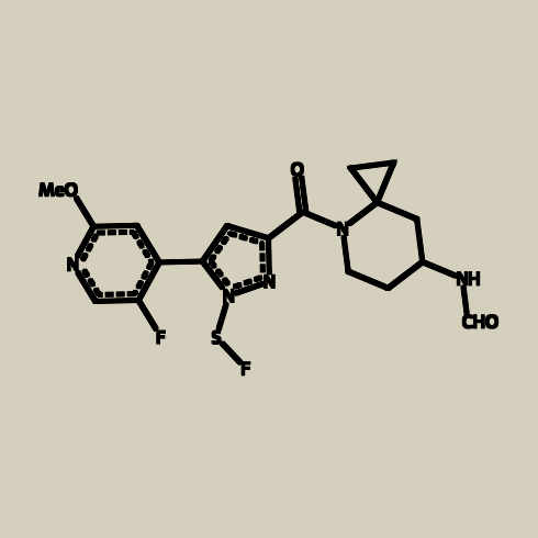 COc1cc(-c2cc(C(=O)N3CCC(NC=O)CC34CC4)nn2SF)c(F)cn1